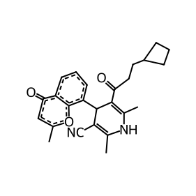 CC1=C(C#N)C(c2cccc3c(=O)cc(C)oc23)C(C(=O)CCC2CCC2)=C(C)N1